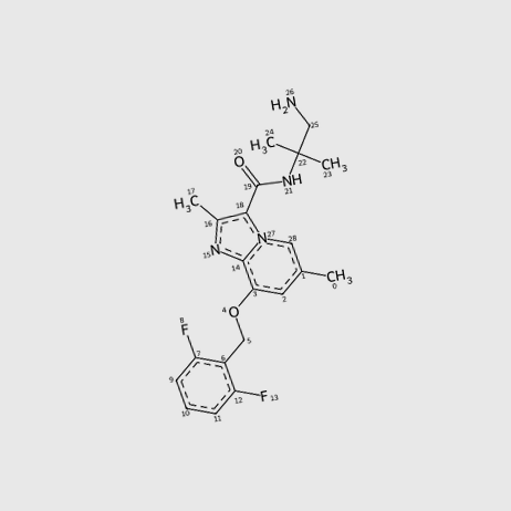 Cc1cc(OCc2c(F)cccc2F)c2nc(C)c(C(=O)NC(C)(C)CN)n2c1